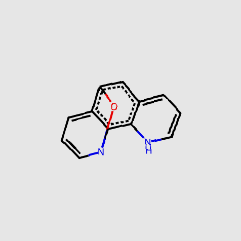 C1=CNc2c3c4c(cc2=C1)ON3C=CC=4